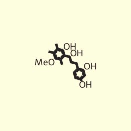 COc1c(C)c(C)c(O)c(C(O)CCc2ccc(O)cc2O)c1C